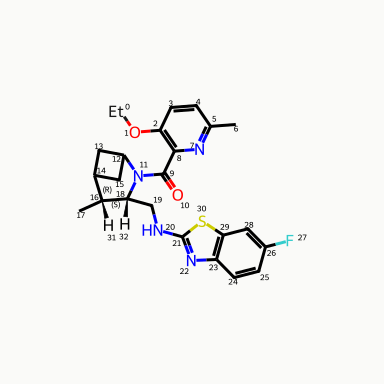 CCOc1ccc(C)nc1C(=O)N1C2CC(C2)[C@@H](C)[C@H]1CNc1nc2ccc(F)cc2s1